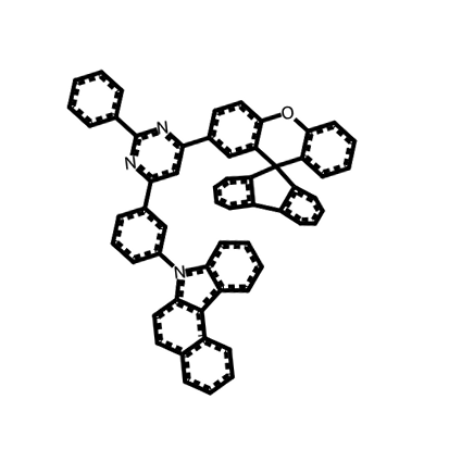 c1ccc(-c2nc(-c3cccc(-n4c5ccccc5c5c6ccccc6ccc54)c3)cc(-c3ccc4c(c3)C3(c5ccccc5O4)c4ccccc4-c4ccccc43)n2)cc1